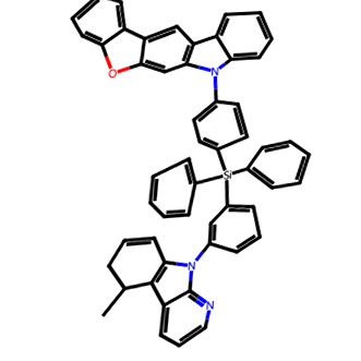 CC1CC=Cc2c1c1cccnc1n2-c1cccc([Si](c2ccccc2)(c2ccccc2)c2ccc(-n3c4ccccc4c4cc5c(cc43)oc3ccccc35)cc2)c1